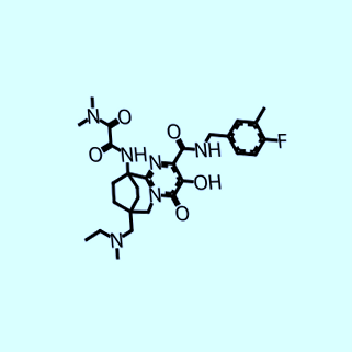 CCN(C)CC12CCC(NC(=O)C(=O)N(C)C)(CC1)c1nc(C(=O)NCc3ccc(F)c(C)c3)c(O)c(=O)n1C2